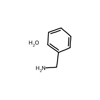 NCc1ccccc1.O